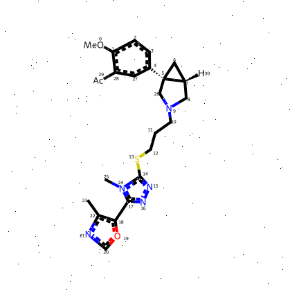 COc1ccc([C@]23C[C@@H]2CN(CCCSc2nnc(-c4ocnc4C)n2C)C3)cc1C(C)=O